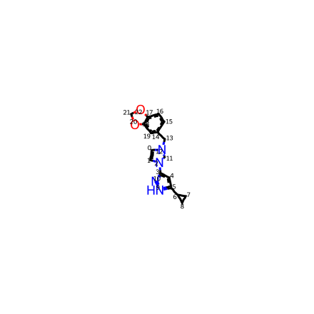 C1=CN(c2cc(C3CC3)[nH]n2)CN1Cc1ccc2c(c1)OCO2